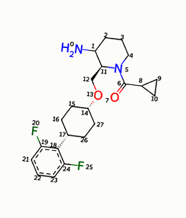 NC1CCCN(C(=O)C2CC2)[C@H]1CO[C@H]1CC[C@@H](c2c(F)cccc2F)CC1